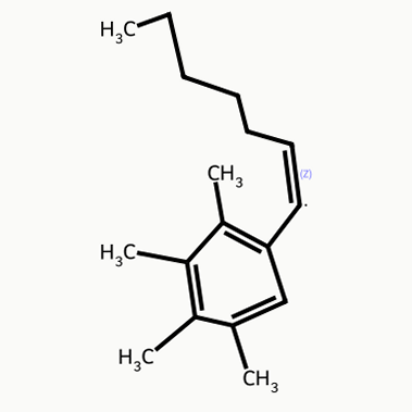 CCCCC/C=[C]\c1cc(C)c(C)c(C)c1C